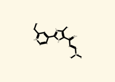 CCc1cc(-c2nc(C)c(C(=O)C=CN(C)C)s2)ccn1